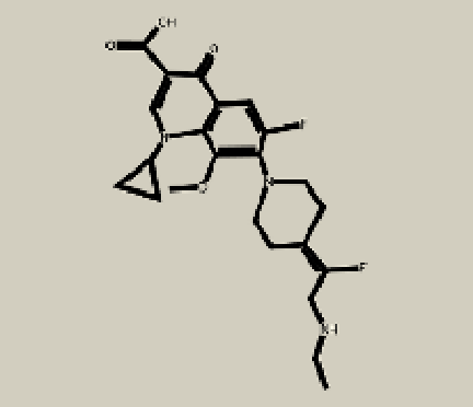 CCNCC(F)=C1CCN(c2c(F)cc3c(=O)c(C(=O)O)cn(C4CC4)c3c2OC)CC1